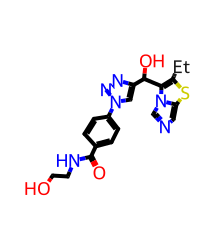 CCc1sc2cncn2c1C(O)c1cn(-c2ccc(C(=O)NCCO)cc2)nn1